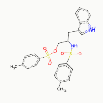 Cc1ccc(S(=O)(=O)NC(COS(=O)(=O)c2ccc(C)cc2)Cc2c[nH]c3ccccc23)cc1